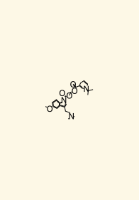 COc1ccc2c(c1)c(CCN(C)C)cn2C(=O)OCOC(=O)C1=CN(C(C)C)C=CC1